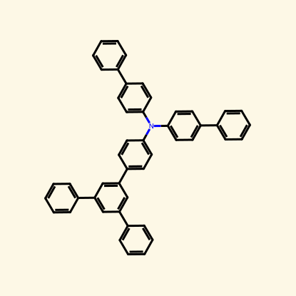 c1ccc(-c2ccc(N(c3ccc(-c4ccccc4)cc3)c3ccc(-c4cc(-c5ccccc5)cc(-c5ccccc5)c4)cc3)cc2)cc1